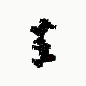 C#Cc1c(F)ccc2cc(O)cc(-c3ncc4c(N5CC6CCC(C5)N6C(=O)OC)nc(OC[C@@]56CCC(c7cc(F)c(C#C)c8c(-c9ncc%10c(N%11CC%12CCC(C%11)N%12C(=O)OCC)nc(OC[C@@]%11%12CCCN%11C[C@H](F)C%12)nc%10c9F)cc(O)cc78)N5C[C@H](F)C6)nc4c3F)c12